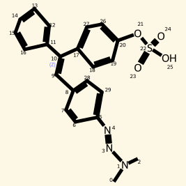 CN(C)N=Nc1ccc(/C=C(/c2ccccc2)c2ccc(OS(=O)(=O)O)cc2)cc1